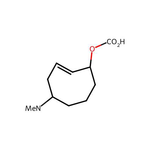 CNC1C/C=C/C(OC(=O)O)CCC1